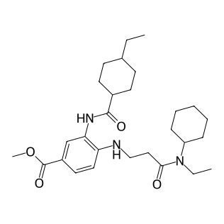 CCC1CCC(C(=O)Nc2cc(C(=O)OC)ccc2NCCC(=O)N(CC)C2CCCCC2)CC1